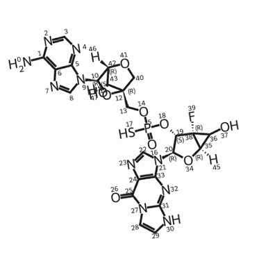 Nc1ncnc2c1ncn2[C@@H]1O[C@@]2(COP(=O)(S)O[C@H]3[C@H](n4cnc5c(=O)n6cc[nH]c6nc54)O[C@@H]4C(O)[C@@]43F)CO[C@@H]1[C@@H]2O